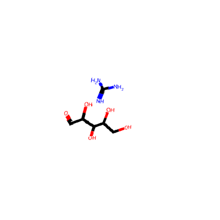 N=C(N)N.O=CC(O)C(O)C(O)CO